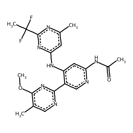 COc1nc(-c2cnc(NC(C)=O)cc2Nc2cc(C)nc(C(C)(F)F)n2)ncc1C